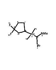 CNC(C(C)C)[PH](C)(C)C1CCC(F)(F)C1